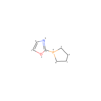 c1coc(P2CCCC2)n1